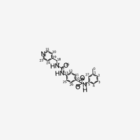 Cc1cccc(NS(=O)(=O)c2ccc(NC(=O)NCc3ccncc3)cc2)c1